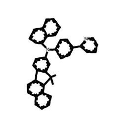 CC1(C)c2cc(N(c3ccc(-c4ccccn4)cc3)c3cccc4ccccc34)ccc2-c2ccc3ccccc3c21